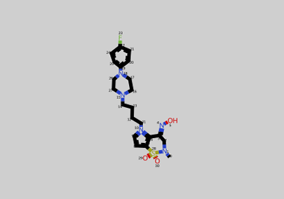 CN1C/C(=N\O)c2c(ccn2CCCCN2CCN(c3ccc(F)cc3)CC2)S1(=O)=O